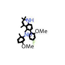 COc1ccc(C)c(NCc2c(-c3ccc(F)cc3OC)ccc3c2C(C)=CC(C)(C)N3)c1